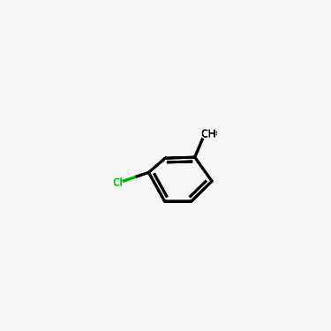 [CH]c1cccc(Cl)c1